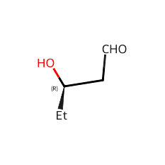 CC[C@@H](O)CC=O